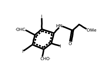 COCC(=O)Nc1c(I)c([C]=O)c(I)c([C]=O)c1I